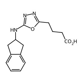 O=C(O)CCCc1nnc(NC2Cc3ccccc3C2)o1